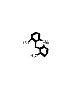 Cc1cccc(C(C)(C)C)c1Cc1c(C)cccc1C(C)(C)C